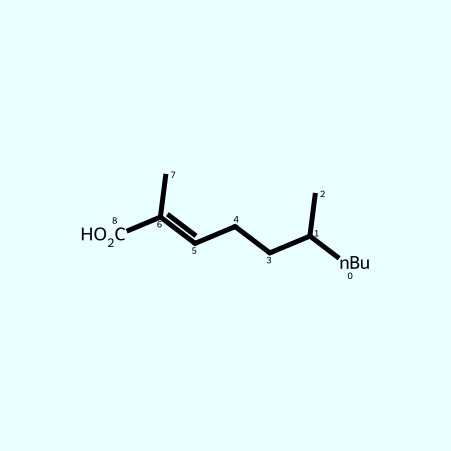 CCCCC(C)CCC=C(C)C(=O)O